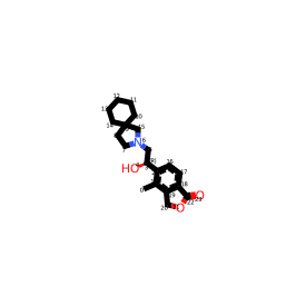 Cc1c([C@@H](O)CN2CCC3(CCCCC3)C2)ccc2c1COC2=O